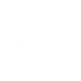 CCCCCC(Br)OC(C)OCC